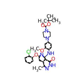 COc1cc(N2CCN(C(=O)OC(C)(C)C)CC2)ccc1Nc1nc(Oc2ccccc2Cl)cc2c(C)n[nH]c(=O)c12